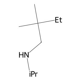 CCC(C)(C)CNC(C)C